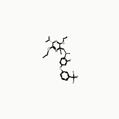 CCOC1=NC(C)(C[C@@H](C)c2ccc(Sc3cccc(C(F)(F)F)c3)cc2F)C(OCC)=N[C@H]1C(C)C